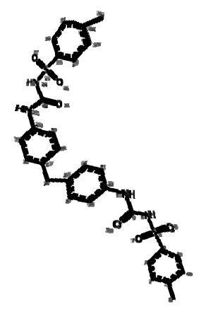 Cc1ccc(S(=O)(=O)NC(=O)Nc2ccc(Cc3ccc(NC(=O)NS(=O)(=O)c4ccc(C)cc4)cc3)cc2)cc1